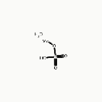 O.O=S(=O)(O)[O][Mo]